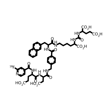 O=C(O)CCC(NC(=O)NC(CCCCNC(=O)C(Cc1ccc2ccccc2c1)NC(=O)c1ccc(CNC(=O)C(CC(=O)O)NC(=O)C(CCC(=O)O)NC(=O)c2ccnc([18F])c2)cc1)C(=O)O)C(=O)O